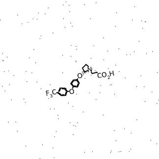 O=C(O)CCN1CCC[C@H]1COc1ccc(Oc2ccc(C(F)(F)F)cc2)cc1